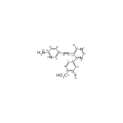 Cc1ncnc(-c2ccc(C(=O)O)c(F)c2)c1C#Cc1ccc(N)nc1